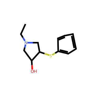 CCN1CC(O)C(Sc2ccccc2)C1